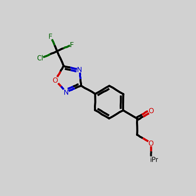 CC(C)OCC(=O)c1ccc(-c2noc(C(F)(F)Cl)n2)cc1